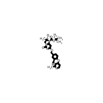 Cc1cc(Oc2ccc(COc3cc4n(c(=O)n3)CC(C)(C)N4C(=O)OC(C)(C)C)cc2C#N)ccn1